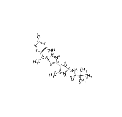 COc1ccc(Cl)cc1Nc1nc(-c2oc(NC(=O)C(C)(C)C)nc2C)cs1